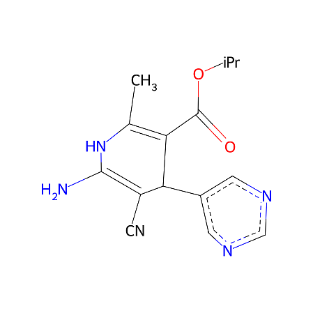 CC1=C(C(=O)OC(C)C)C(c2cncnc2)C(C#N)=C(N)N1